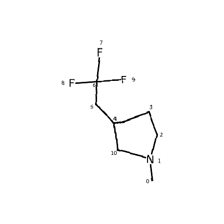 CN1CCC(CC(F)(F)F)C1